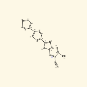 N#C/C(=C/c1nnc(-c2ccc(-c3ccccc3)cc2)o1)C(=O)O